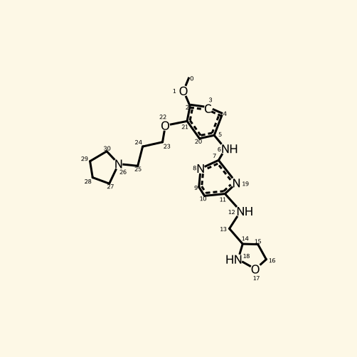 COc1ccc(Nc2nccc(NCC3CCON3)n2)cc1OCCCN1CCCC1